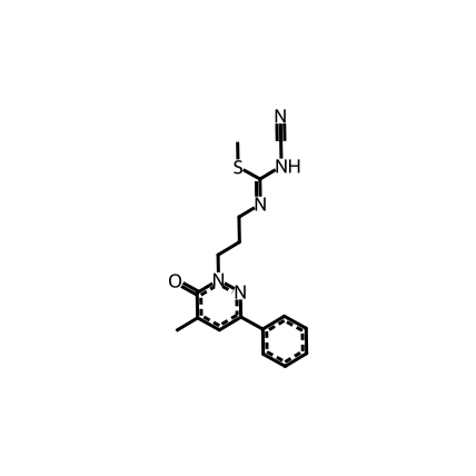 CSC(=NCCCn1nc(-c2ccccc2)cc(C)c1=O)NC#N